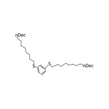 CCCCCCCCCCCCCCCCCCSc1c[c]cc(SCCCCCCCCCCCCCCCCCC)c1